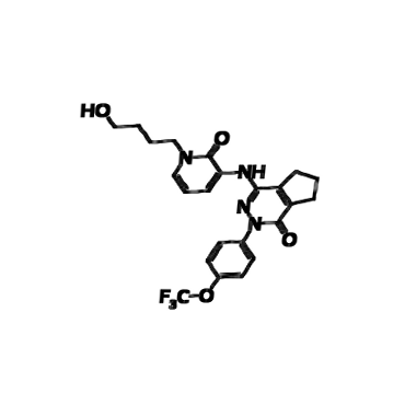 O=c1c(Nc2nn(-c3ccc(OC(F)(F)F)cc3)c(=O)c3c2CCC3)cccn1CCCCO